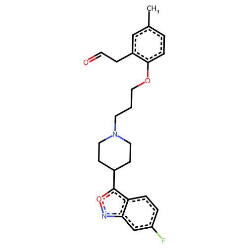 Cc1ccc(OCCCN2CCC(c3onc4cc(F)ccc34)CC2)c(CC=O)c1